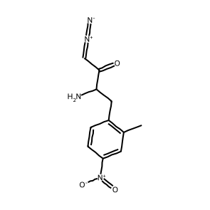 Cc1cc([N+](=O)[O-])ccc1CC(N)C(=O)C=[N+]=[N-]